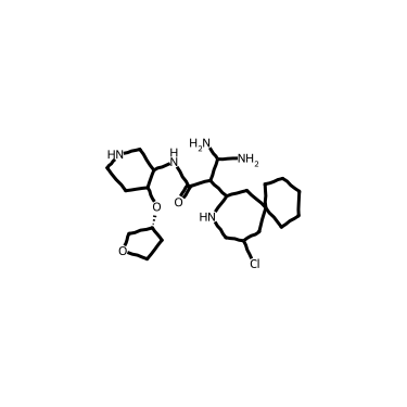 NC(N)C(C(=O)NC1CNCCC1O[C@@H]1CCOC1)C1CC2(CCCCC2)CC(Cl)CN1